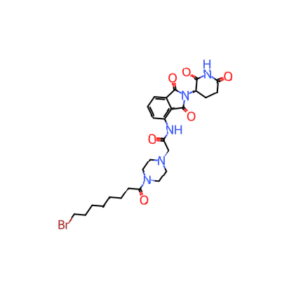 O=C1CCC(N2C(=O)c3cccc(NC(=O)CN4CCN(C(=O)CCCCCCCBr)CC4)c3C2=O)C(=O)N1